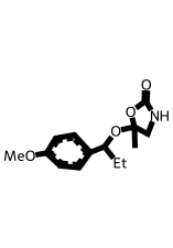 CCC(OC1(C)CNC(=O)O1)c1ccc(OC)cc1